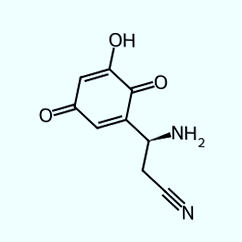 N#CC[C@H](N)C1=CC(=O)C=C(O)C1=O